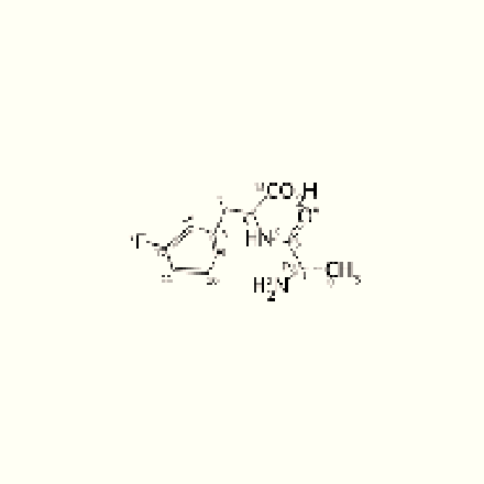 C[C@H](N)C(=O)NC(Cc1cccc(F)c1)C(=O)O